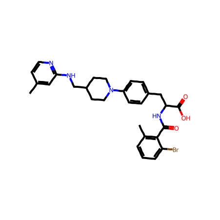 Cc1ccnc(NCC2CCN(c3ccc(CC(NC(=O)c4c(C)cccc4Br)C(=O)O)cc3)CC2)c1